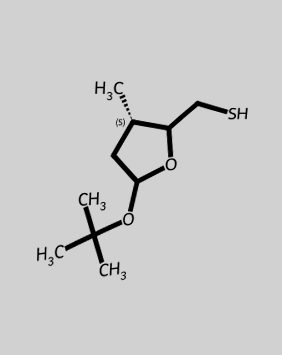 C[C@H]1CC(OC(C)(C)C)OC1CS